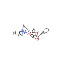 CN1CCCC(C(Oc2ccc3occ(C4CCCCC4)c(=O)c3c2)c2ccccc2)C1